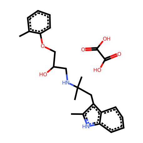 Cc1ccccc1OCC(O)CNC(C)(C)Cc1c(C)[nH]c2ccccc12.O=C(O)C(=O)O